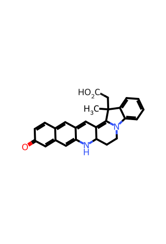 CC1(CC(=O)O)C2=C3C=c4cc5c(cc4NC3CCN2c2ccccc21)=CC(=O)C=C5